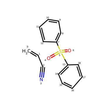 C=CC#N.O=S(=O)(c1ccccc1)c1ccccc1